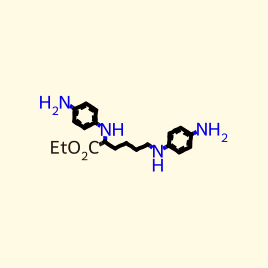 CCOC(=O)C(CCCCNc1ccc(N)cc1)Nc1ccc(N)cc1